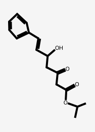 CC(C)OC(=O)CC(=O)CC(O)C=Cc1ccccc1